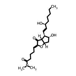 CCCCC[C@H](O)/C=C/[C@@H]1[C@H]2C(=O)/C(=C/CCCC(=O)N(C)C)O[C@H]2C[C@H]1O